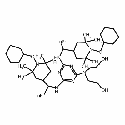 CCCC(Nc1nc(NC(CCC)C2CC(C)(C)N(OC3CCCCC3)C(C)(C)C2)nc(N(CCO)CCO)n1)C1CC(C)(C)N(OC2CCCCC2)C(C)(C)C1